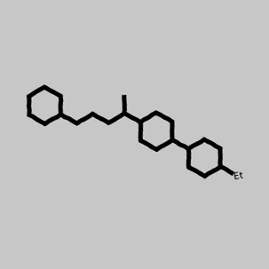 CCC1CCC(C2CCC(C(C)CCCC3CCCCC3)CC2)CC1